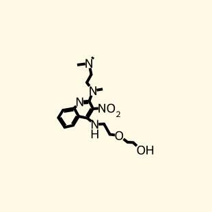 CN(C)CCN(C)c1nc2ccccc2c(NCCOCCO)c1[N+](=O)[O-]